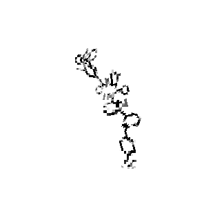 CC(=O)c1ccc(-c2cccc(-c3csc(NC(=O)[C@@H]4CCN4C(=O)c4cc(C)n(S(C)(=O)=O)c4)n3)c2)cc1